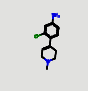 CN1CC=C(c2ccc(N)cc2Cl)CC1